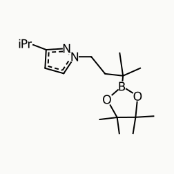 CC(C)c1ccn(CCC(C)(C)B2OC(C)(C)C(C)(C)O2)n1